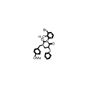 COc1ccc(CN2CC(Sc3ccccc3)C(=O)N(c3cccc(Br)c3C)C2=O)cc1